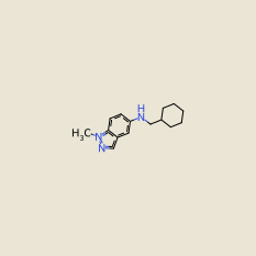 Cn1ncc2cc(NCC3CCCCC3)ccc21